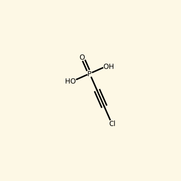 O=P(O)(O)C#CCl